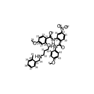 COc1ccc(NC(=O)c2ccc([N+](=O)[O-])cc2NC(=O)c2ccc(OC)cc2OCCCNCc2ccccc2C)cc1